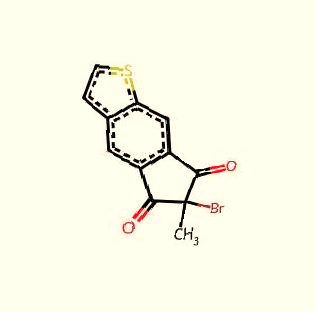 CC1(Br)C(=O)c2cc3ccsc3cc2C1=O